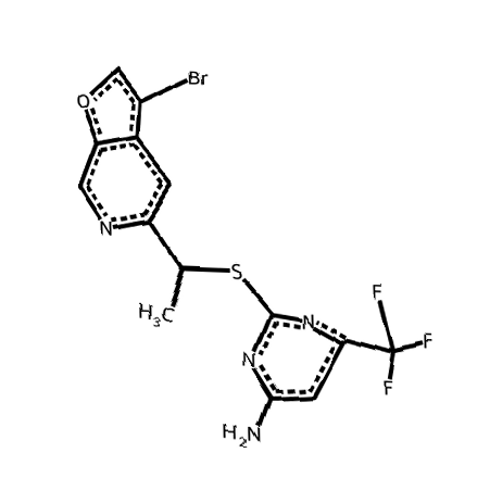 CC(Sc1nc(N)cc(C(F)(F)F)n1)c1cc2c(Br)coc2cn1